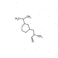 CC(C=O)CC1CCCC(C(C)C)C1